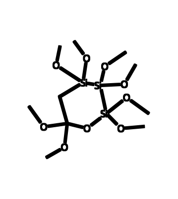 COC1(OC)C[Si](OC)(OC)[Si](OC)(OC)[Si](OC)(OC)O1